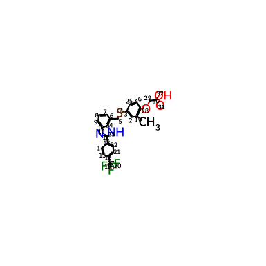 Cc1cc(SCc2cccc3nc(-c4ccc(C(F)(F)F)cc4)[nH]c23)ccc1OCC(=O)O